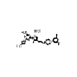 Cc1c(C=CCN2CCN(c3cc(F)cc(F)c3)CC2)cnn1-c1nc(N)nc(N2CC(O)C2)n1.Cl